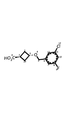 O=C(O)[C@H]1C[C@H](OCc2cc(F)cc(Cl)c2)C1